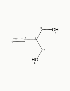 C#CC(CO)CO